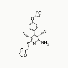 N#Cc1c(N)nc(SCC2OCCO2)c(C#N)c1-c1ccc(OC2COC2)cc1